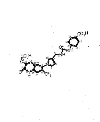 O=C(NCc1ccn(-c2cc3nc(OC(=O)O)c(=O)[nH]c3cc2C(F)(F)F)c1)Nc1ccc(C(=O)O)cc1